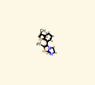 Cc1csc2c(C3=C(C(C)C)SC4=NCCN43)cccc12